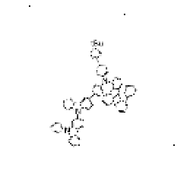 CC(C)(C)c1ccc(-c2ccc(N(c3ccc(-c4ccc5c(c4)c4ccccc4n5-c4ccc5c6ccccc6n(-c6ccccc6)c5c4)cc3)c3cccc4c3-c3ccccc3C43c4ccccc4-c4ccccc43)cc2)cc1